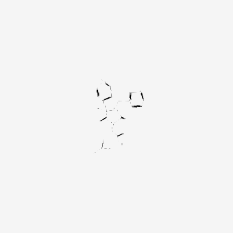 CC(C)C[C@@H](C(=O)O)N1C(=O)N(Cc2ccccc2)[C@@](C)(c2ccncc2)C1=O